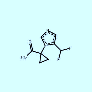 O=C(O)C1(n2cncc2C(F)F)CC1